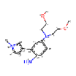 COCCN(CCOC)c1ccc(N)c(-c2ccn(C)c2)c1